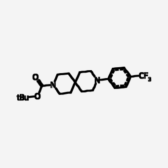 CC(C)(C)OC(=O)N1CCC2(CC1)CCN(c1ccc(C(F)(F)F)cc1)CC2